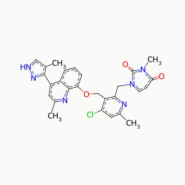 Cc1cc(Cl)c(COc2cccc3c(-c4n[nH]cc4C)cc(C)nc23)c(Cn2ccc(=O)n(C)c2=O)n1